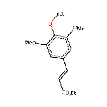 CCCCOc1c(OC)cc(/C=C/C(=O)OCC)cc1OC